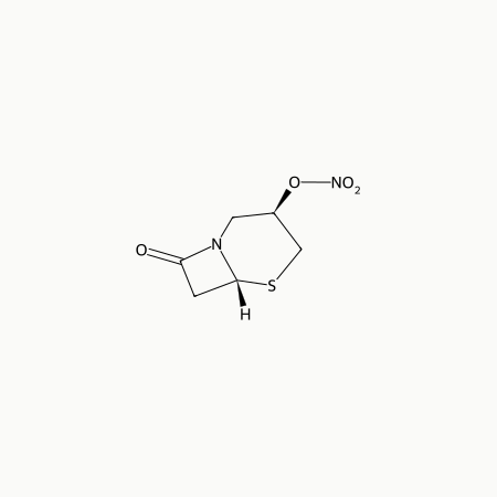 O=C1C[C@H]2SC[C@H](O[N+](=O)[O-])CN12